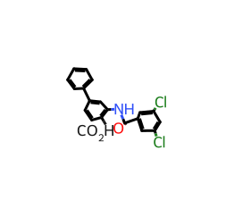 O=C(Nc1cc(-c2ccccc2)ccc1C(=O)O)c1cc(Cl)cc(Cl)c1